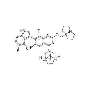 Fc1cc2c(N3C[C@H]4CC[C@@H](C3)N4)nc(OCC34CCCN3CCC4)nc2c(F)c1-c1c[nH]c2ccc(F)c(Cl)c12